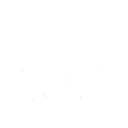 CNc1cnn(CC(=O)N(C)CCOc2ccc(C)cc2)c1